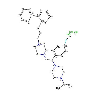 CC(C)N1CCN(C(CN2CCN(CCCc3ccccc3-c3ccccc3)CC2)c2ccc(F)cc2)CC1.Cl.Cl.Cl